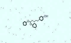 Oc1ccc(CCCCC(Oc2ccccc2)Oc2ccccc2)cc1